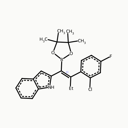 CC/C(=C(/B1OC(C)(C)C(C)(C)O1)c1cc2ccccc2[nH]1)c1ccc(F)cc1Cl